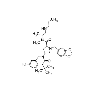 CCCNC[C@@H](C)N(C)C(=O)[C@@H]1C[C@H](N(Cc2cccc(O)c2)C(=O)CC(C)(C)C)CN1Cc1ccc2c(c1)OCO2